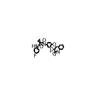 COc1nc2ccccc2c(Oc2ccc(NC(=O)C3(C(=O)Nc4ccc(F)cc4)CC3)cc2)c1OC